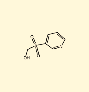 O=S(=O)(CO)c1cccnc1